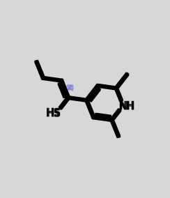 CC/C=C(\S)C1=CC(C)NC(C)=C1